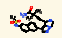 CC(C)(C#Cc1nccn2ncc(-c3ccc4cc(NS(C)(=O)=O)ccc4c3)c12)C(N)=O